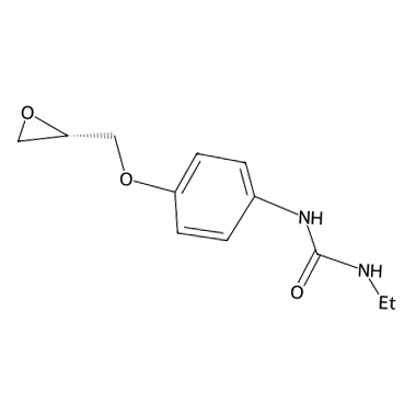 CCNC(=O)Nc1ccc(OC[C@@H]2CO2)cc1